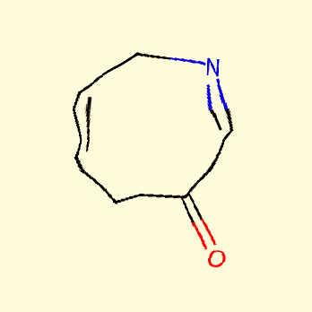 O=C1C=NCC=CC1